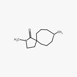 CN1CCCC2(CCC1)CCN(C)C2=O